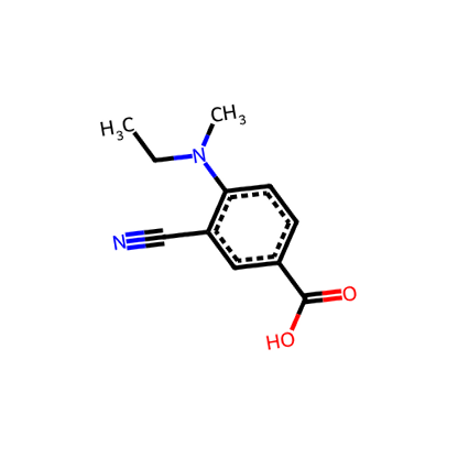 CCN(C)c1ccc(C(=O)O)cc1C#N